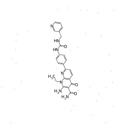 CCn1c(N)c(C(N)=O)c(=O)c2ccc(-c3ccc(NC(=O)NCc4cccnc4)cc3)nc21